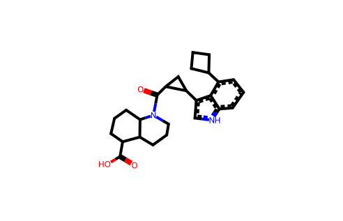 O=C(O)C1CCCC2C1CCCN2C(=O)C1CC1c1c[nH]c2cccc(C3CCC3)c12